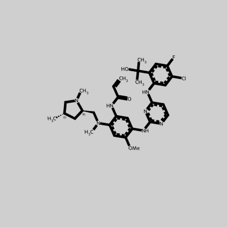 C=CC(=O)Nc1cc(Nc2nccc(Nc3cc(Cl)c(F)cc3C(C)(C)O)n2)c(OC)cc1N(C)C[C@H]1C[C@H](C)CN1C